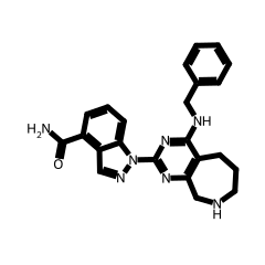 NC(=O)c1cccc2c1cnn2-c1nc2c(c(NCc3ccccc3)n1)CCCNC2